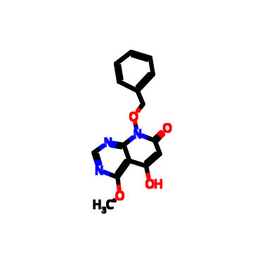 COc1ncnc2c1c(O)cc(=O)n2OCc1ccccc1